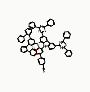 N#Cc1ccc(-c2cc3c4c(c2)-n2c5ccc(-c6nc(-c7ccccc7)nc(-c7ccccc7)n6)cc5c5cc(-c6nc(-c7ccccc7)nc(-c7ccccc7)n6)cc(c52)B4c2cc(-c4ccccc4-c4ccccc4)cc(-c4ccccc4-c4ccccc4)c2O3)cc1